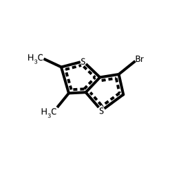 Cc1sc2c(Br)csc2c1C